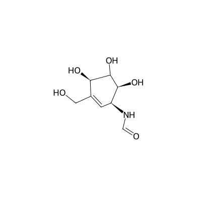 O=CN[C@H]1C=C(CO)[C@@H](O)C(O)[C@H]1O